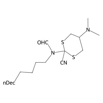 CCCCCCCCCCCCCCN(C=O)C1(C#N)SCC(N(C)C)CS1